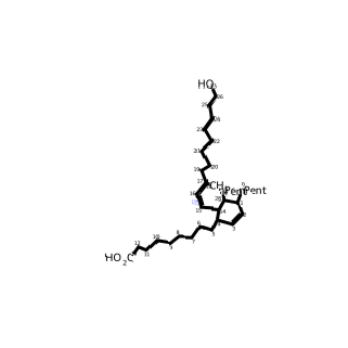 CCCCCC1C=CC(CCCCCCCCC(=O)O)C(/C=C\C(C)CCCCCCCCO)C1CCCCC